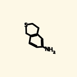 Nc1ccc2c(c1)CCSC2